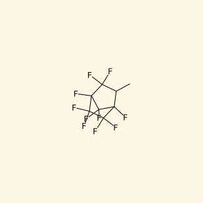 CC1C(F)(F)C2(F)C(F)(F)C(F)(F)C1(F)C2(F)F